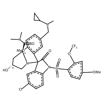 COc1ccc(S(=O)(=O)N2C(=O)C(c3cc(CN(C)C4CC4)ccc3OC)(N3C[C@H](O)C[C@H]3C(=O)N(C)C)c3cc(Cl)ccc32)c(OC(F)(F)F)c1